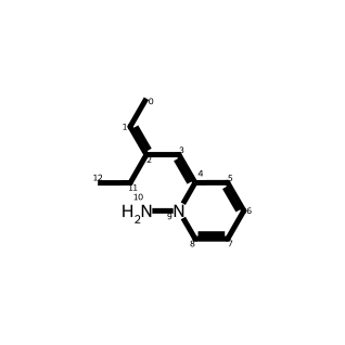 C/C=C(\C=C1\C=CC=CN1N)CC